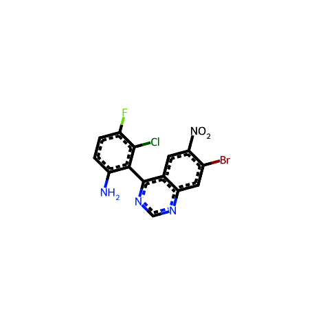 Nc1ccc(F)c(Cl)c1-c1ncnc2cc(Br)c([N+](=O)[O-])cc12